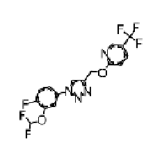 Fc1ccc(-n2cc(COc3ccc(C(F)(F)F)cn3)nn2)cc1OC(F)F